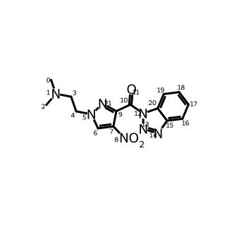 CN(C)CCn1cc([N+](=O)[O-])c(C(=O)n2nnc3ccccc32)n1